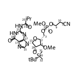 COC1[C@@H](COP(=O)(OC)OCCC#N)O[C@@H](n2cnc3c(=O)[nH]c(NC(=O)C(C)C)nc32)[C@H]1O[Si](C)(C)C(C)(C)C